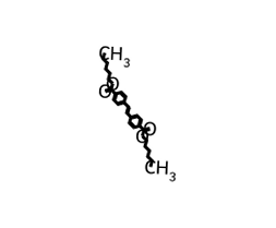 CCCCCCOC(=O)c1ccc(/C=C/c2ccc(C(=O)OCCCCCC)cc2)cc1